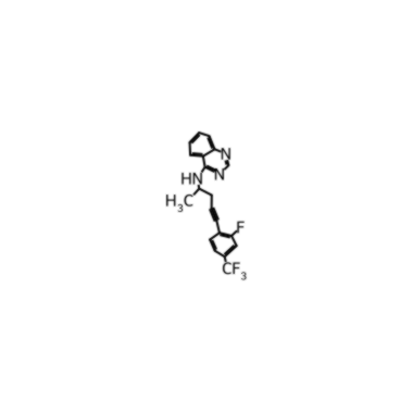 CC(CC#Cc1ccc(C(F)(F)F)cc1F)Nc1ncnc2ccccc12